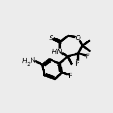 CC1(C)OCC(=S)NC(C)(c2cc(N)ccc2F)C1(F)F